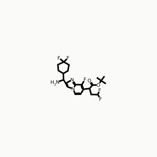 CC(C)(C)OC(=O)C(CC(F)F)c1ccn2cc(C(N)C3CCC(F)(F)CC3)nc2c1F